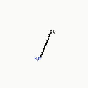 CCCCCCCCC=CCCCCCCCCN.[C]